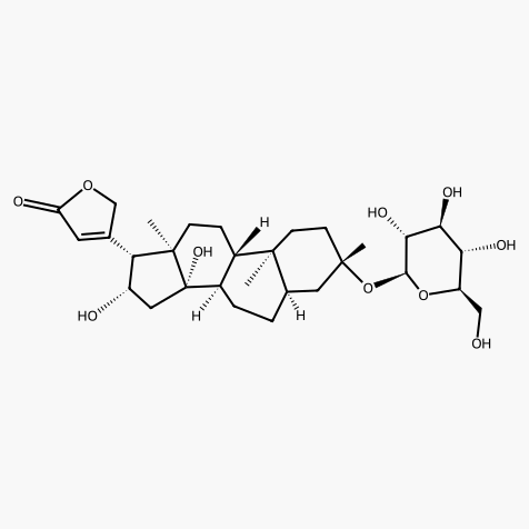 C[C@]1(O[C@@H]2O[C@H](CO)[C@@H](O)[C@H](O)[C@H]2O)CC[C@@]2(C)[C@H](CC[C@@H]3[C@@H]2CC[C@]2(C)[C@@H](C4=CC(=O)OC4)[C@@H](O)C[C@]32O)C1